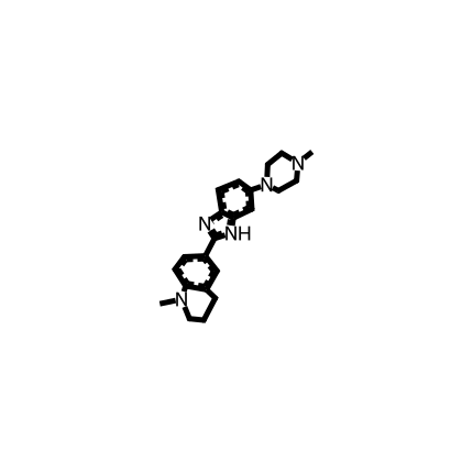 CN1CCN(c2ccc3nc(-c4ccc5c(c4)CCCN5C)[nH]c3c2)CC1